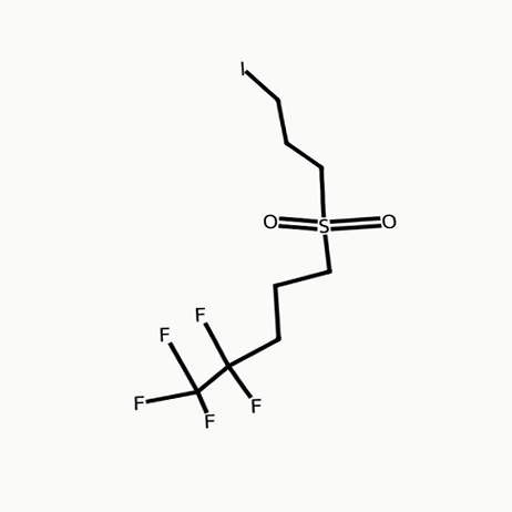 O=S(=O)(CCCI)CCCC(F)(F)C(F)(F)F